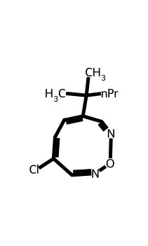 CCCC(C)(C)c1ccc(Cl)cnonc1